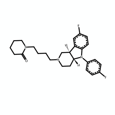 O=C1CCCCN1CCCCN1CC[C@@H]2[C@@H](C1)c1cc(F)ccc1N2c1ccc(F)cc1